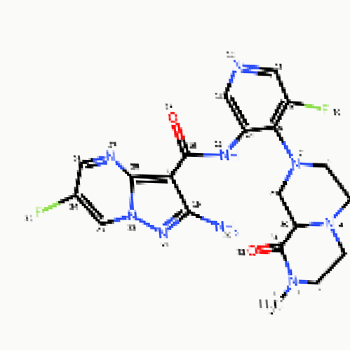 CN1CCN2CCN(c3c(F)cncc3NC(=O)c3c(N)nn4cc(F)cnc34)CC2C1=O